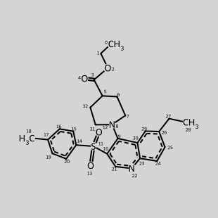 CCOC(=O)C1CCN(c2c(S(=O)(=O)c3ccc(C)cc3)cnc3ccc(CC)cc23)CC1